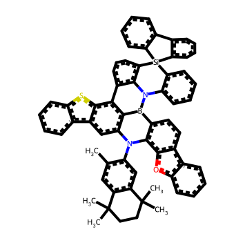 Cc1cc2c(cc1N1c3cc4c(sc5ccccc54)c4c3B(c3ccc5c(oc6ccccc65)c31)N1c3ccccc3[Si]3(c5ccccc5-c5ccccc53)c3cccc-4c31)C(C)(C)CCC2(C)C